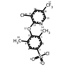 Cc1cc(S(=O)(=O)Cl)cc(C)c1Oc1ncc(C(F)(F)F)cc1Cl